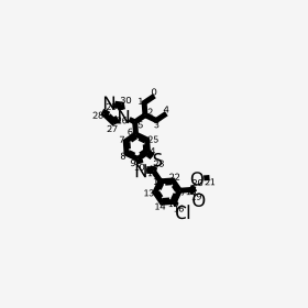 CCC(CC)C(c1ccc2nc(-c3ccc(Cl)c(C(=O)OC)c3)sc2c1)n1ccnc1